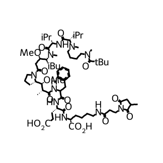 CC[C@H](C)[C@@H]([C@@H](CC(=O)N1CCC[C@H]1[C@H](OC)[C@@H](C)C(=O)NC(Cc1ccccc1)C(=O)N[C@@H](CCC(=O)O)C(=O)N[C@@H](CCCCNC(=O)CCN1C(=O)CC(C)C1=O)C(=O)O)OC)N(C)C(=O)[C@@H](NC(=O)[C@H](C(C)C)N(C)CCCCN(C)C(=O)C(C)(C)C)C(C)C